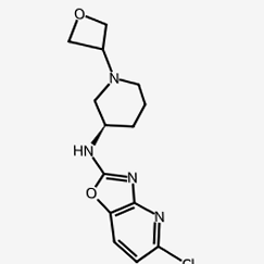 Clc1ccc2oc(N[C@@H]3CCCN(C4COC4)C3)nc2n1